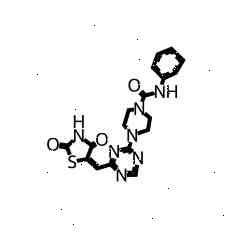 O=C1NC(=O)/C(=C\c2ncnc(N3CCN(C(=O)Nc4ccccc4)CC3)n2)S1